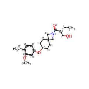 CC[C@H](CO)C(=O)N1CC2(CCC(Oc3ccc(C)c(OC)c3)CC2)C1